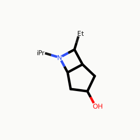 CCC1C2CC(O)CC2N1C(C)C